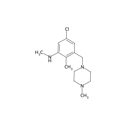 CNc1cc(Cl)cc(CN2CCN(C)CC2)c1C